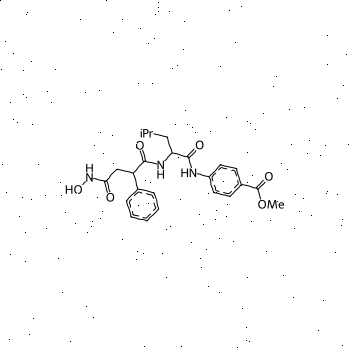 COC(=O)c1ccc(NC(=O)C(CC(C)C)NC(=O)C(CC(=O)NO)c2ccccc2)cc1